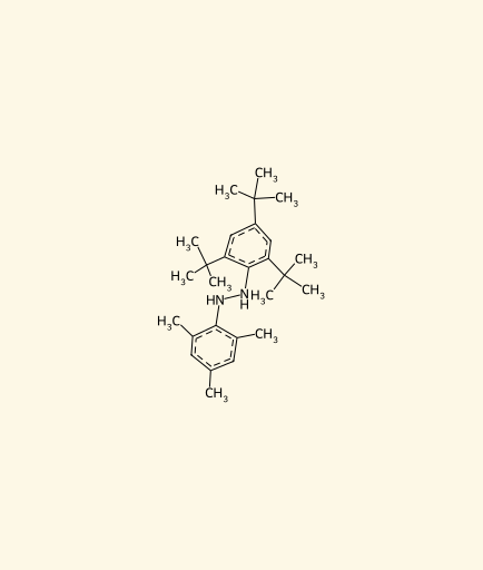 Cc1cc(C)c(NNc2c(C(C)(C)C)cc(C(C)(C)C)cc2C(C)(C)C)c(C)c1